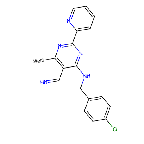 CNc1nc(-c2ccccn2)nc(NCc2ccc(Cl)cc2)c1C=N